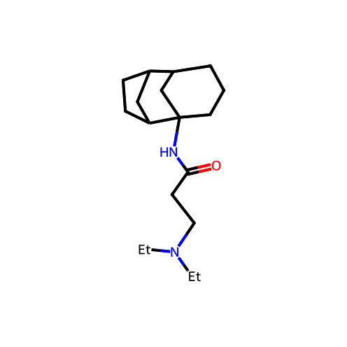 CCN(CC)CCC(=O)NC12CCCC(C1)C1CCC2C1